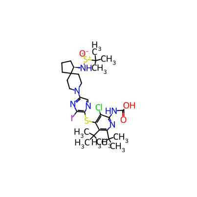 CC(C)(C)c1nc(NC(=O)O)c(Cl)c(Sc2ncc(N3CCC4(CCC[C@H]4N[S@+]([O-])C(C)(C)C)CC3)nc2I)c1C(C)(C)C